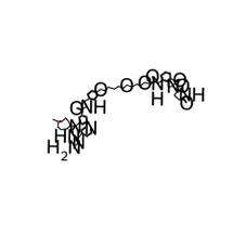 C/C1=C\CCC2(CCC1)C(N/C(=N\N)c1ccncc1)=[N+]2c1cccc(C(=O)NCc2ccc(OCCCCCOCCCOCC(=O)Nc3cccc4c3CN(C3CCC(=O)NC3=O)C4=O)cc2)c1